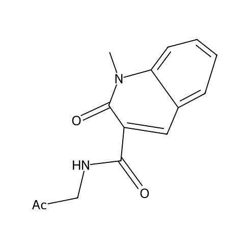 CC(=O)CNC(=O)c1cc2ccccc2n(C)c1=O